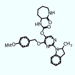 COc1ccc(COc2nc(N3c4ccccc4CC3C)ncc2OC(=O)NC2CCCCNC2=O)cc1